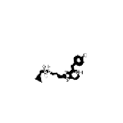 O=S(=O)(CC1CC1)NCCCc1nc2c(s1)CCNC2Cc1ccc(Cl)cc1